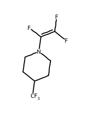 FC(F)=C(F)N1CCC(C(F)(F)F)CC1